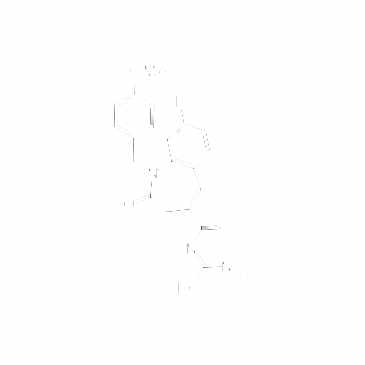 COc1ccc(CN2C(=O)CC(C(=O)N=C(C)N)=Cc3ccc(Br)cc32)cc1